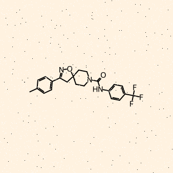 Cc1ccc(C2=NOC3(CCN(C(=O)Nc4ccc(C(F)(F)F)cc4)CC3)C2)cc1